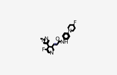 Cn1cc(C2C(F)=CN=CC2/C=C/C(=O)Nc2ccc(N3CCC(F)CC3)cc2)cn1